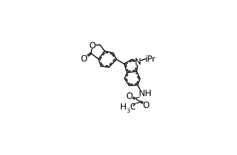 CC(C)n1cc(-c2ccc3c(c2)COC3=O)c2ccc(NS(C)(=O)=O)cc21